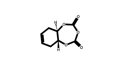 O=C1OC(=O)O[C@@H]2CC=CC[C@H]2O1